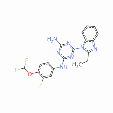 CCc1nc2ccccc2n1-c1nc(N)nc(Nc2ccc(OC(F)F)c(F)c2)n1